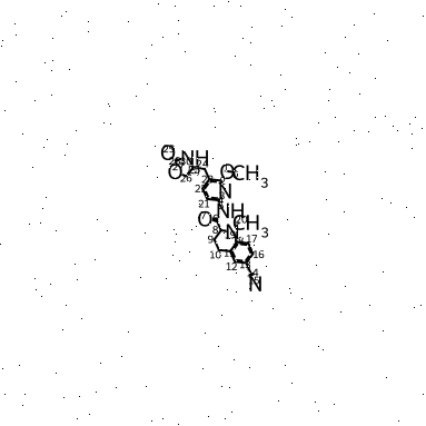 COc1nc(NC(=O)C2CCc3cc(C#N)ccc3N2C)ccc1C[C@H]1COC(=O)N1